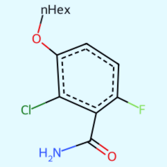 CCCCCCOc1ccc(F)c(C(N)=O)c1Cl